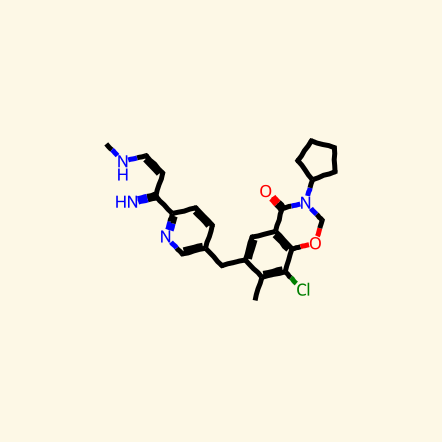 CN/C=C\C(=N)c1ccc(Cc2cc3c(c(Cl)c2C)OCN(C2CCCC2)C3=O)cn1